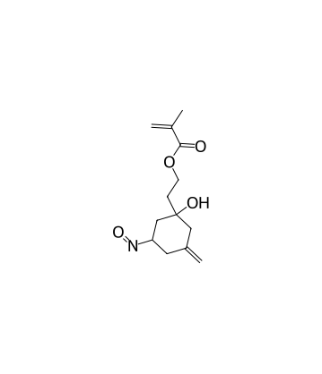 C=C1CC(N=O)CC(O)(CCOC(=O)C(=C)C)C1